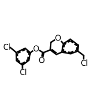 O=C(Oc1cc(Cl)cc(Cl)c1)C1=Cc2cc(CCl)ccc2OC1